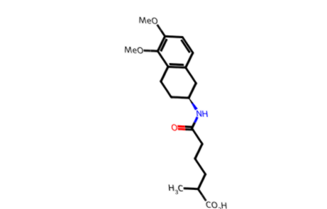 COc1ccc2c(c1OC)CC[C@H](NC(=O)CCCC(C)C(=O)O)C2